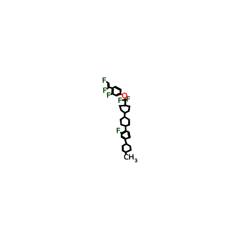 CC1CCC(c2ccc(C3CCC(C4CCC(C(F)(F)Oc5ccc(/C(F)=C/F)c(F)c5)CC4)CC3)c(F)c2)CC1